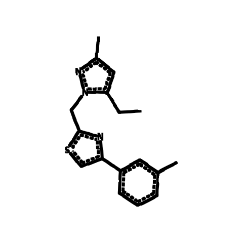 CCc1cc(C)nn1Cc1nc(-c2cccc(C)c2)cs1